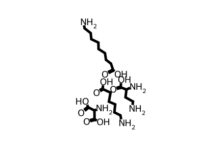 NC(C(=O)O)C(=O)O.NCCC(N)C(=O)O.NCCCCCC(=O)O.NCCCCCCCCC(=O)O